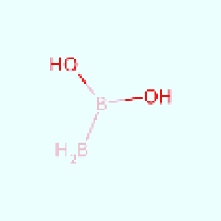 BB(O)O